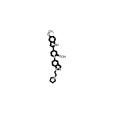 COc1ccc2[nH]c(-c3ccn(-c4ccc5c(cnn5CCN5CCCC5)c4)c(=O)c3)cc2c1.Cl